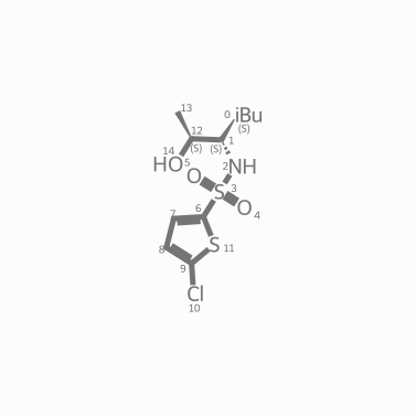 CC[C@H](C)[C@H](NS(=O)(=O)c1ccc(Cl)s1)[C@H](C)O